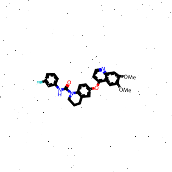 COc1cc2nccc(Oc3ccc4c(c3)CCCN4C(=O)Nc3cccc(F)c3)c2cc1OC